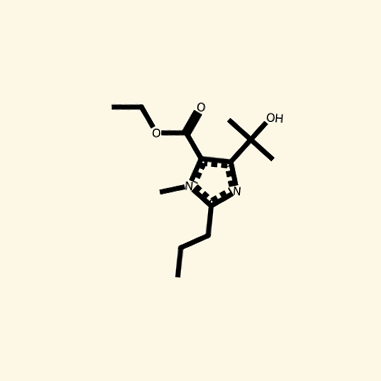 CCCc1nc(C(C)(C)O)c(C(=O)OCC)n1C